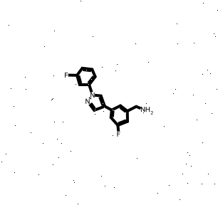 NCc1cc(F)cc(-c2cnn(-c3cccc(F)c3)c2)c1